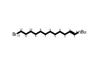 CCCCC=CCCCCCCCCCCBr